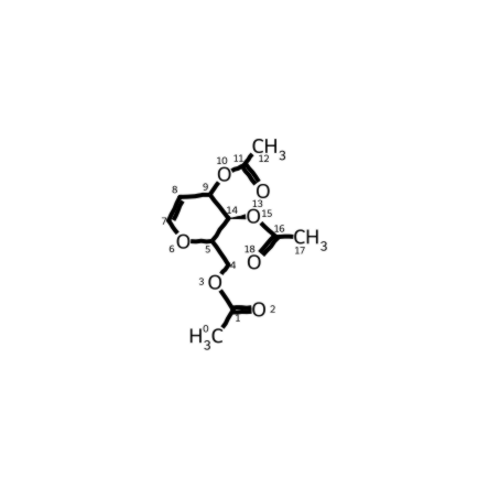 CC(=O)OCC1OC=CC(OC(C)=O)[C@H]1OC(C)=O